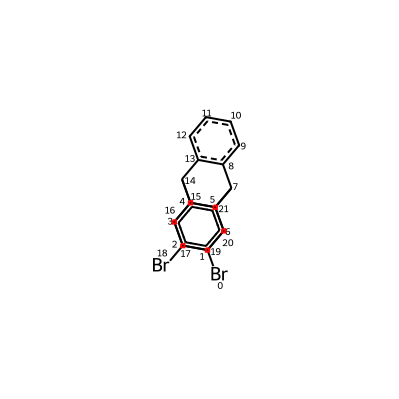 Brc1ccc2c(c1)C1c3ccccc3C2c2cc(Br)ccc21